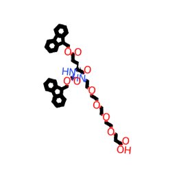 O=C(O)CCOCCOCCOCCOCCNC(=O)[C@H](CCC(=O)OCC1c2ccccc2-c2ccccc21)NC(=O)OCC1c2ccccc2-c2ccccc21